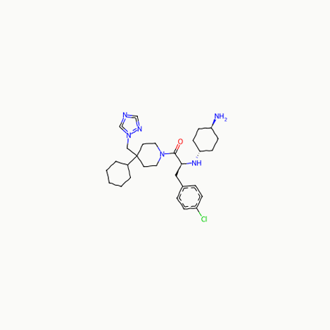 N[C@H]1CC[C@H](N[C@@H](Cc2ccc(Cl)cc2)C(=O)N2CCC(Cn3cncn3)(C3CCCCC3)CC2)CC1